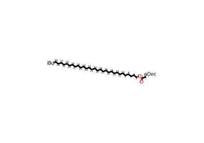 CCCCCCCCCCCC(=O)OCCCCCCCCCCCCCCCCCCCCCCCCCCCCCCC(C)CC